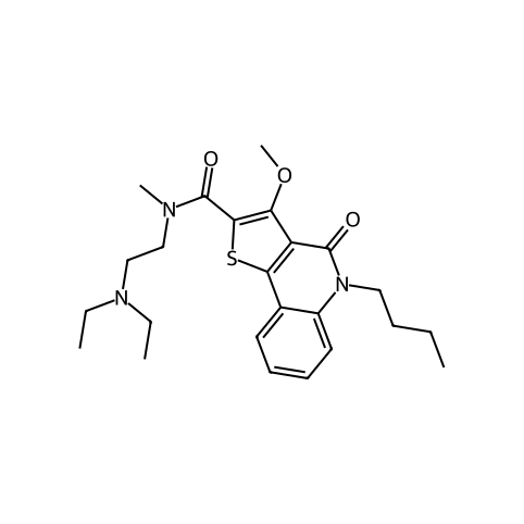 CCCCn1c(=O)c2c(OC)c(C(=O)N(C)CCN(CC)CC)sc2c2ccccc21